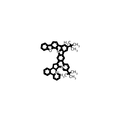 CC(C)(C)c1cc2c3cc4c(cc3n3c2c(c1)c1ccc2c5ccccc5oc2c13)c1c([n+]2cc(C(C)(C)C)ccc42)C2C(C1)c1ccccc1-c1cccc[n+]12